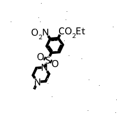 CCOC(=O)c1ccc(S(=O)(=O)N2CCN(C)CC2)cc1[N+](=O)[O-]